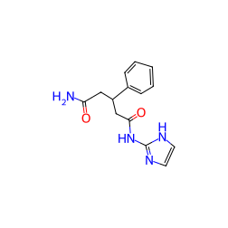 NC(=O)CC(CC(=O)Nc1ncc[nH]1)c1ccccc1